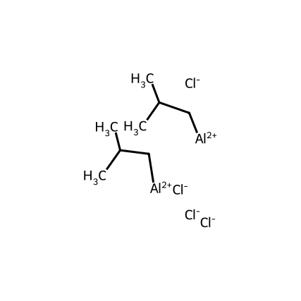 CC(C)[CH2][Al+2].CC(C)[CH2][Al+2].[Cl-].[Cl-].[Cl-].[Cl-]